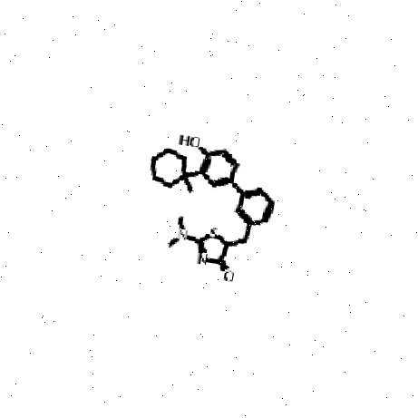 CN(C)C1=NC(=O)C(Cc2cccc(-c3ccc(O)c(C4(C)CCCCC4)c3)c2)S1